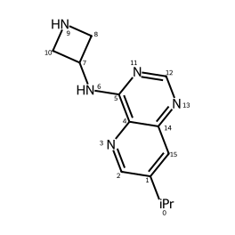 CC(C)c1cnc2c(NC3CNC3)ncnc2c1